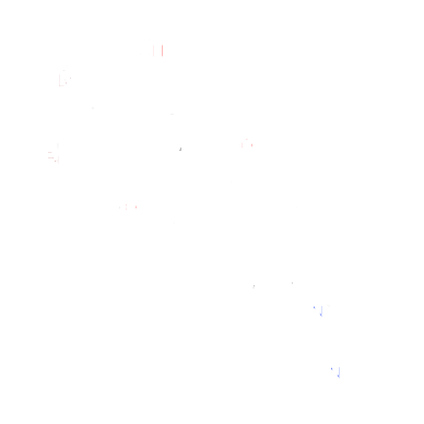 O=C(c1ccc(-n2ccnc2)cc1)c1coc2c(Br)c(Br)c(O)cc12